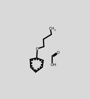 CCCCOc1ccccc1.O=CO